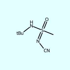 CC(C)(C)NS(C)(=O)=NC#N